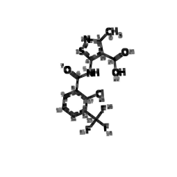 Cc1nsc(NC(=O)c2cccc(C(F)(F)F)c2Cl)c1C(=O)O